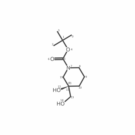 CC(C)(C)OC(=O)N1CCC[C@](O)(CO)C1